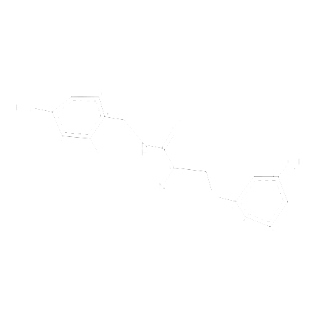 Cc1ccc(CNC(=O)C(N)COc2cccc(C=O)c2)c(F)c1